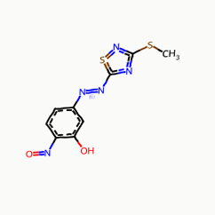 CSc1nsc(/N=N/c2ccc(N=O)c(O)c2)n1